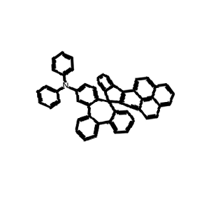 c1ccc(N(c2ccccc2)c2ccc3c(c2)-c2ccccc2-c2ccccc2C32c3ccccc3-c3c2cc2ccc4cccc5ccc3c2c45)cc1